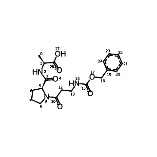 C[C@H](NC(=O)[C@@H]1CCCN1C(=O)CCNC(=O)OCc1ccccc1)C(=O)O